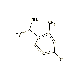 Cc1cc(Cl)ccc1C(C)N